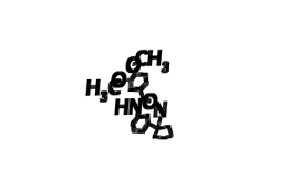 COc1ccc(C(=O)Nc2cccc(C3(C#N)CCCC3)c2)cc1OC